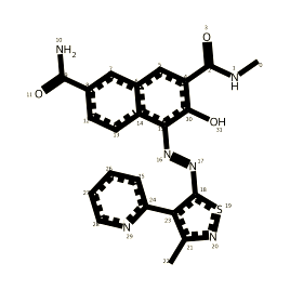 CNC(=O)c1cc2cc(C(N)=O)ccc2c(/N=N/c2snc(C)c2-c2ccccn2)c1O